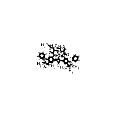 CCCCC(CC)C(=O)Nc1cc2c(cc1C1=C(O)/C(=c3/cc4c(cc3NC(=O)C(CC)CCCC)=[PH](c3ccccc3)C(C)C4(C)C)C1=O)C(C)(C)C(C)N2c1ccccc1